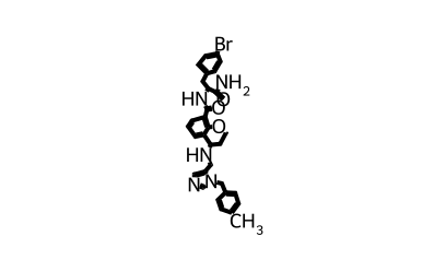 Cc1ccc(Cn2cncc2CNC2CCOc3c(C(=O)NC(Cc4ccc(Br)cc4)C(N)=O)cccc32)cc1